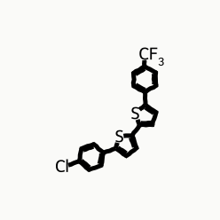 FC(F)(F)c1ccc(-c2ccc(-c3ccc(-c4ccc(Cl)cc4)s3)s2)cc1